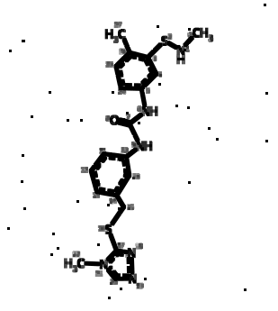 CNSc1cc(NC(=O)Nc2cccc(CSc3nncn3C)c2)ccc1C